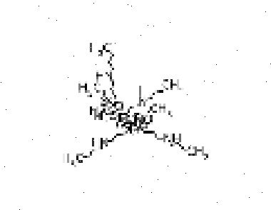 CCCCNCCC[Si](C)(OCC)O[Si](C)(CCCNCCCC)O[Si](C)(CCCNCCCC)O[Si](C)(CCCNCCCC)OCC